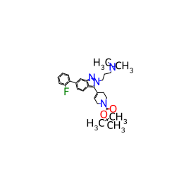 CN(C)CCCn1nc2cc(-c3ccccc3F)ccc2c1C1=CCN(C(=O)OC(C)(C)C)CC1